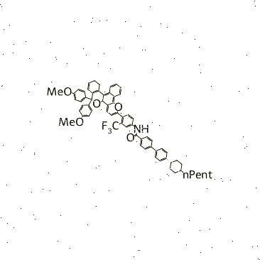 CCCCC[C@H]1CC[C@H](c2ccc(-c3ccc(C(=O)Nc4ccc(C5=CC=C6C(=c7ccccc7=C7C8=C(C=CCC8)C(c8ccc(OC)cc8)(c8ccc(OC)cc8)OC67)O5)c(C(F)(F)F)c4)cc3)cc2)CC1